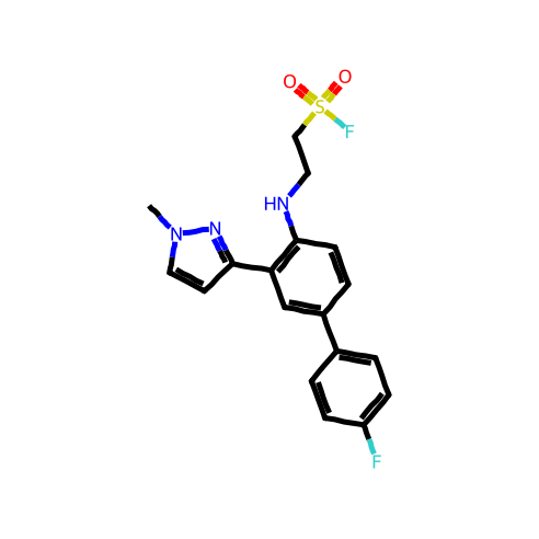 Cn1ccc(-c2cc(-c3ccc(F)cc3)ccc2NCCS(=O)(=O)F)n1